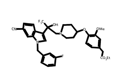 [C-]#[N+]c1ccc2c(C(O)(CN3CCC(Oc4ccc(CC(=O)OCC)cc4OC)CC3)C(F)(F)F)cn(Cc3cccc(F)c3)c2c1